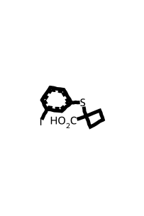 O=C(O)C1(Sc2cccc(I)c2)CCC1